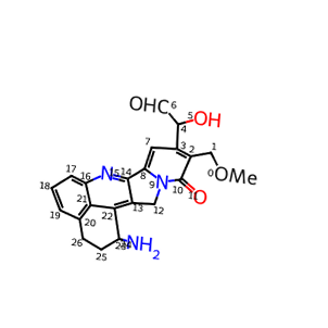 COCc1c(C(O)C=O)cc2n(c1=O)Cc1c-2nc2cccc3c2c1C(N)CC3